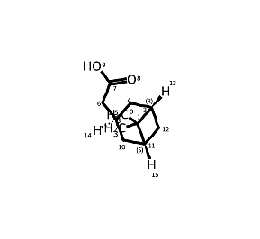 CC1(C)[C@@H]2C[C@H](CC(=O)O)C[C@H]1C2